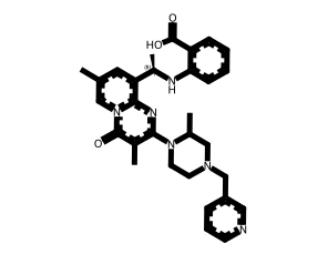 Cc1cc([C@@H](C)Nc2ccccc2C(=O)O)c2nc(N3CCN(Cc4cccnc4)CC3C)c(C)c(=O)n2c1